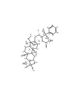 C[C@H](O)CC([C@@H](C)[C@H]1CC[C@H]2[C@@H]3CC[C@H]4C[C@](O)(C(F)(F)F)CC[C@]4(C)[C@H]3CC[C@]12C)S(=O)(=O)c1ccccc1